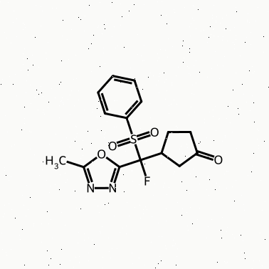 Cc1nnc(C(F)(C2CCC(=O)C2)S(=O)(=O)c2ccccc2)o1